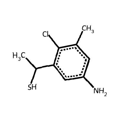 Cc1cc(N)cc(C(C)S)c1Cl